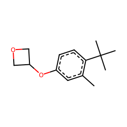 Cc1cc(OC2COC2)ccc1C(C)(C)C